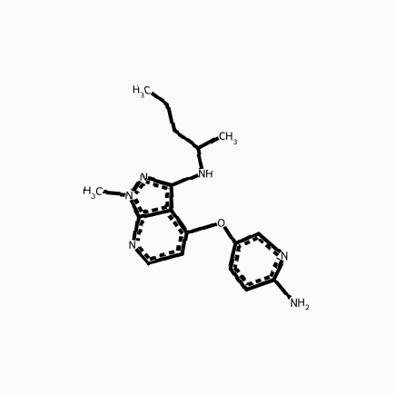 CCCC(C)Nc1nn(C)c2nccc(Oc3ccc(N)nc3)c12